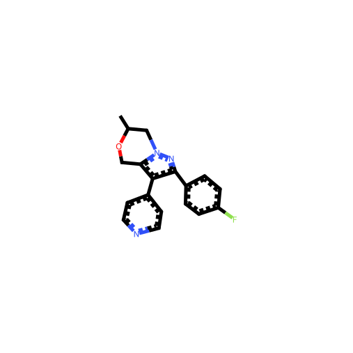 CC1Cn2nc(-c3ccc(F)cc3)c(-c3ccncc3)c2CO1